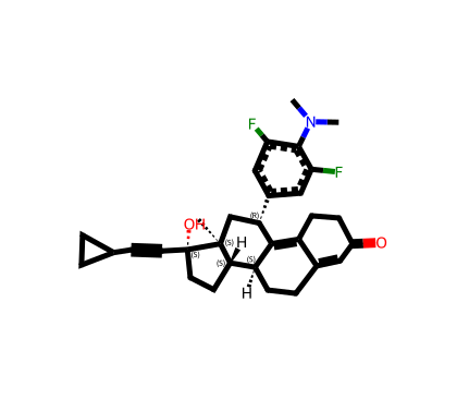 CN(C)c1c(F)cc([C@H]2C[C@@]3(C)[C@@H](CC[C@@]3(O)C#CC3CC3)[C@@H]3CCC4=CC(=O)CCC4=C32)cc1F